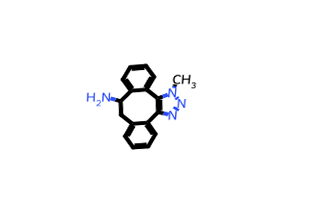 Cn1nnc2c1-c1ccccc1C(N)Cc1ccccc1-2